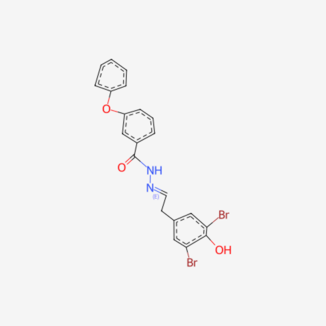 O=C(N/N=C/Cc1cc(Br)c(O)c(Br)c1)c1cccc(Oc2ccccc2)c1